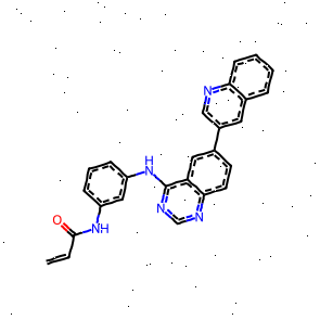 C=CC(=O)Nc1cccc(Nc2ncnc3ccc(-c4cnc5ccccc5c4)cc23)c1